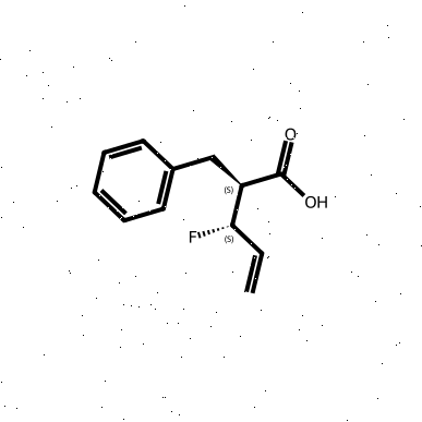 C=C[C@H](F)[C@@H](Cc1ccccc1)C(=O)O